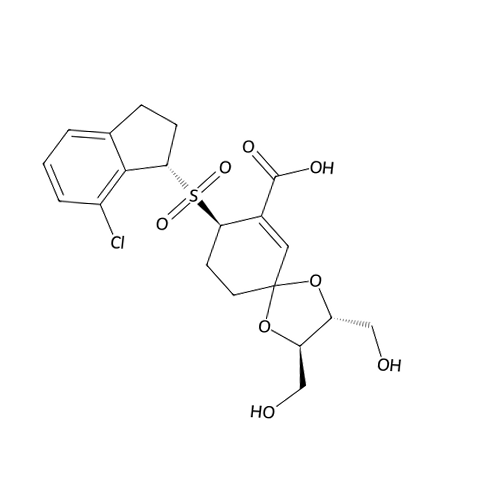 O=C(O)C1=CC2(CC[C@H]1S(=O)(=O)[C@H]1CCc3cccc(Cl)c31)O[C@H](CO)[C@@H](CO)O2